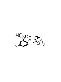 CC(C)COc1ccc(F)cc1B(O)O